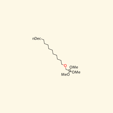 CCCCCCCCCCCCCCCCCCCCOC[Si](OC)(OC)OC